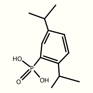 CC(C)c1ccc(C(C)C)c(P(=O)(O)O)c1